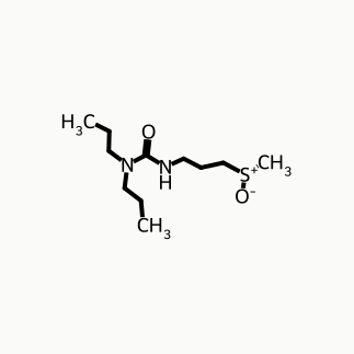 CCCN(CCC)C(=O)NCCC[S+](C)[O-]